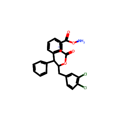 NOC(=O)/C=C\C(=O)OC(Cc1ccc(Cl)c(Cl)c1)C(c1ccccc1)c1ccccc1